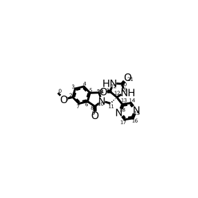 COc1ccc2c(c1)C(=O)N(C[C@@]1(c3cnccn3)NC(=O)NC1=O)C2